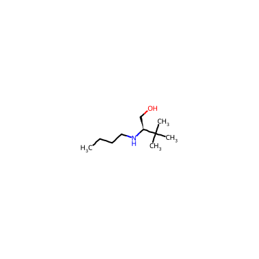 CCCCN[C@@H](CO)C(C)(C)C